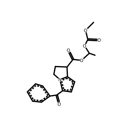 COC(=O)OC(C)OC(=O)C1CCn2c(C(=O)c3ccccc3)ccc21